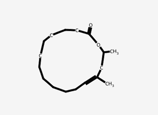 C/C1=C\CCCCCCCCCCC(=O)OC(C)C1